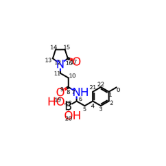 Cc1ccc(CC(NC(=O)CCN2CCCC2=O)B(O)O)cc1